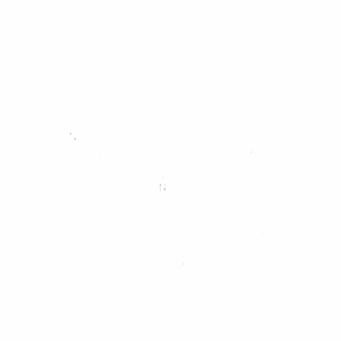 Cc1ccc(C(=O)c2ccc(CC#N)n2Cc2ccccc2)cc1C